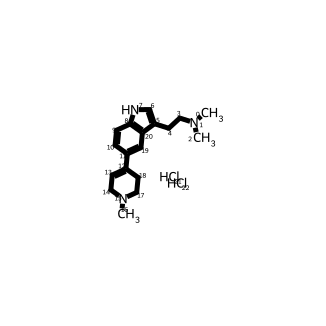 CN(C)CCc1c[nH]c2ccc(C3=CCN(C)CC3)cc12.Cl.Cl